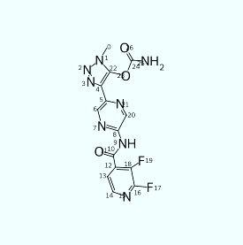 Cn1nnc(-c2cnc(NC(=O)c3ccnc(F)c3F)cn2)c1OC(N)=O